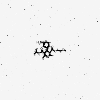 COCCOC(=O)c1c(C)nc(C)c(C(=O)OC(C)C)c1-c1cccc(N)c1